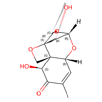 CC1=C[C@H]2O[C@@H]3[C@H](O)C[C@@]4(OC[C@]24[C@H](O)C1=O)[C@@]31O[C@@H]1C